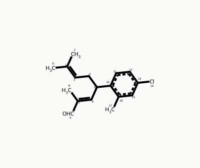 CC(C)=CCC(/C=C(\C)C=O)c1ccc(Cl)cc1C